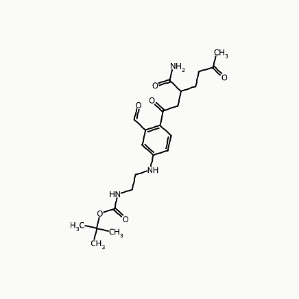 CC(=O)CCC(CC(=O)c1ccc(NCCNC(=O)OC(C)(C)C)cc1C=O)C(N)=O